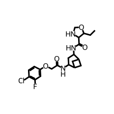 CCC1OCNC1C(=O)NC1CC(NC(=O)COc2ccc(Cl)c(F)c2)C2CC1C2